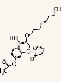 CCCCCCCCOC1=C(O)c2ccc(OC(C)=O)cc2OC1.O=C1CC=CO1